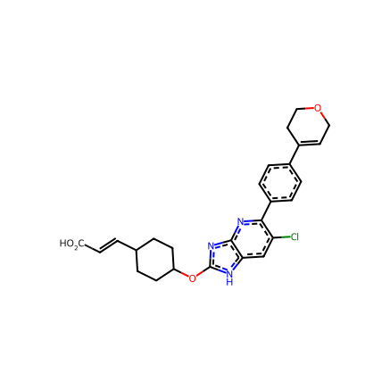 O=C(O)/C=C/C1CCC(Oc2nc3nc(-c4ccc(C5=CCOCC5)cc4)c(Cl)cc3[nH]2)CC1